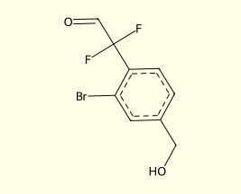 O=CC(F)(F)c1ccc(CO)cc1Br